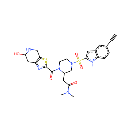 C#Cc1ccc2[nH]c(S(=O)(=O)N3CCN(C(=O)c4nc5c(s4)CNC(O)C5)C(CC(=O)N(C)C)C3)cc2c1